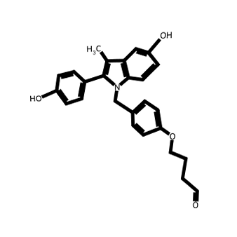 Cc1c(-c2ccc(O)cc2)n(Cc2ccc(OCCCC=O)cc2)c2ccc(O)cc12